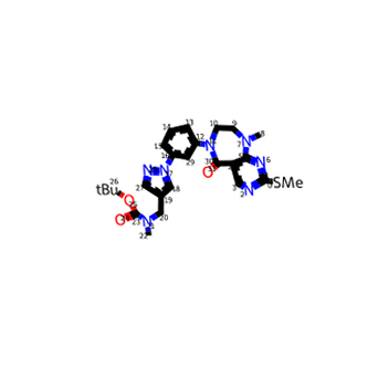 CSc1ncc2c(n1)N(C)CCN(c1cccc(-n3cc(CN(C)C(=O)OC(C)(C)C)cn3)c1)C2=O